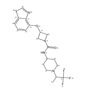 CC(N1CCC(NC(=O)N2CC(Oc3cccc4scnc34)C2)CC1)C(F)(F)F